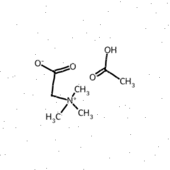 CC(=O)O.C[N+](C)(C)CC(=O)[O-]